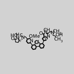 COc1nc(-c2cccc(-c3cccc(-c4cc5c(=O)n(C)c(CN(C)CC(C)O)nn5c4)c3Cl)c2Cl)ccc1CN(C[C@@H]1CCC(=O)N1)C(=O)O